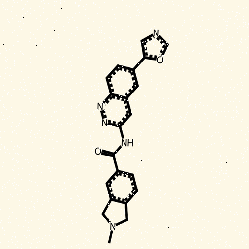 CN1Cc2ccc(C(=O)Nc3cc4cc(-c5cnco5)ccc4nn3)cc2C1